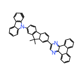 CC1(C)c2cc(-n3c4c#cccc4c4ccccc43)ccc2C2C=CC(c3cnc4c5ccccc5c5ccccc5c4n3)=CC21